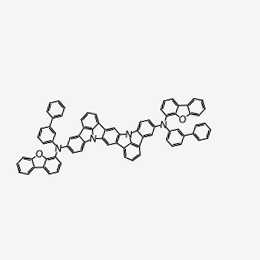 c1ccc(-c2cccc(N(c3ccc4c(c3)c3cccc5c6cc7c(cc6n4c35)c3cccc4c5cc(N(c6cccc(-c8ccccc8)c6)c6cccc8c6oc6ccccc68)ccc5n7c43)c3cccc4c3oc3ccccc34)c2)cc1